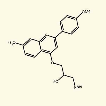 CNCC(O)COc1cc(-c2ccc(OC)cc2)nc2cc(C)ccc12